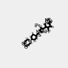 Cc1c(-c2[nH]c3sc(C4CCC(N5CCS(=O)(=O)CC5)CC4)nc3c2C(C)C)cn2ncnc2c1C